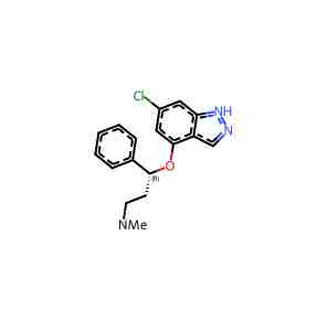 CNCC[C@@H](Oc1cc(Cl)cc2[nH]ncc12)c1ccccc1